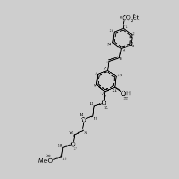 CCOC(=O)c1ccc(C=Cc2ccc(OCCOCCOCCOC)c(O)c2)cc1